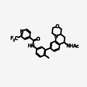 CC(=O)NC1CC2COCCN2c2cc(-c3cc(NC(=O)c4ccnc(C(F)(F)F)c4)ccc3C)ccc21